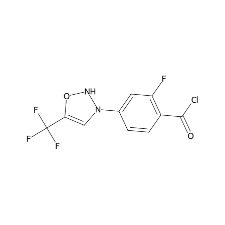 O=C(Cl)c1ccc(N2C=C(C(F)(F)F)ON2)cc1F